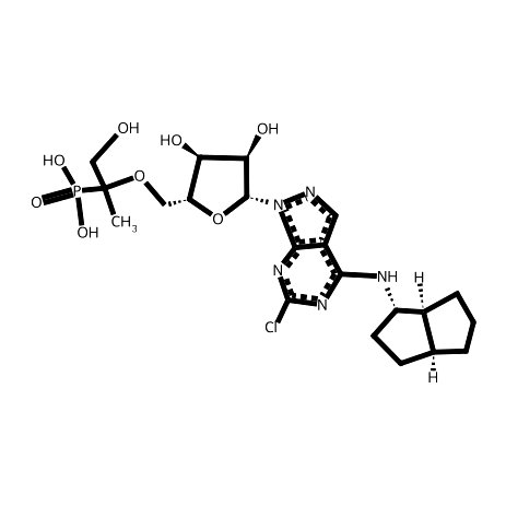 CC(CO)(OC[C@H]1O[C@@H](n2ncc3c(N[C@H]4CC[C@@H]5CCC[C@@H]54)nc(Cl)nc32)[C@H](O)[C@@H]1O)P(=O)(O)O